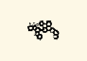 CC1(C)c2ccccc2-c2c1cc(-c1ccc(-c3ccc4ccc5cccnc5c4n3)c3c4ccccc4c4ccccc4c13)c1c2sc2ccccc21